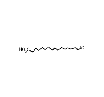 CC/C=C/CCCCC/C=C/CCCCCCC(=O)O